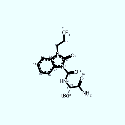 CC(C)(C)[C@H](NC(=O)n1c(=O)n(CCC(F)(F)F)c2ccccc21)C(N)=O